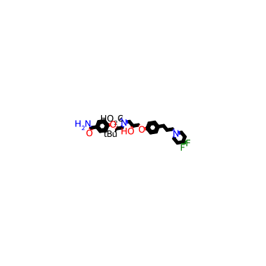 CC(C)(C)[C@H](CN(CC(O)COc1ccc(CCCN2CCC(F)(F)CC2)cc1)C(=O)O)Oc1ccc(C(N)=O)cc1